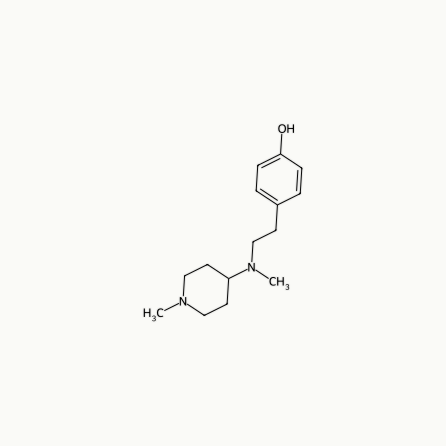 CN1CCC(N(C)CCc2ccc(O)cc2)CC1